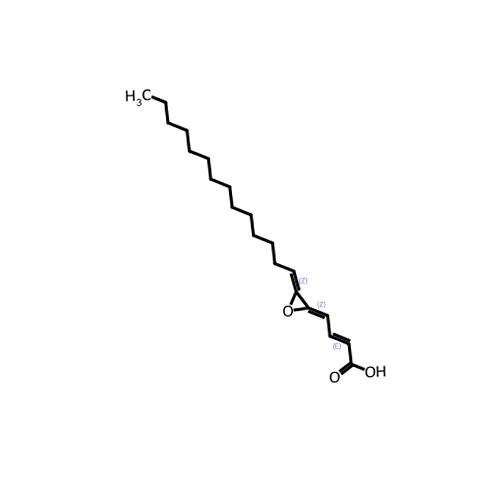 CCCCCCCCCCCCC\C=C1/O/C1=C\C=C\C(=O)O